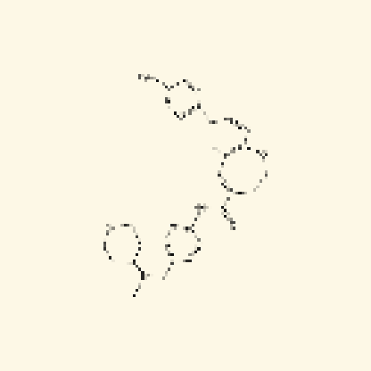 CN(Cc1ccc(NC(=O)C2=Cc3cc(-c4ccc(C(F)(F)F)cc4)ccc3OCC2)cc1)C1CCOCC1